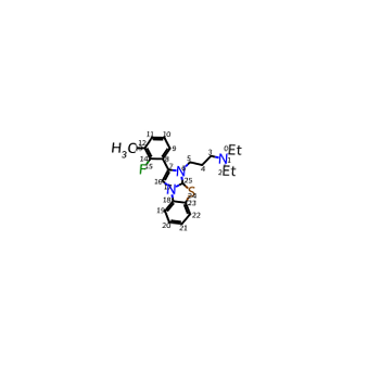 CCN(CC)CCCN1C(c2cccc(C)c2F)=CN2c3ccccc3SC12